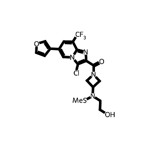 CSN(CCO)C1CN(C(=O)c2nc3c(C(F)(F)F)cc(-c4ccoc4)cn3c2Cl)C1